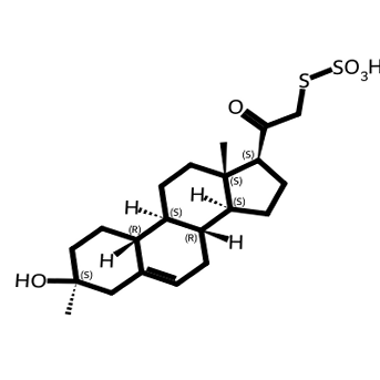 C[C@]1(O)CC[C@H]2C(=CC[C@@H]3[C@@H]2CC[C@]2(C)[C@@H](C(=O)CSS(=O)(=O)O)CC[C@@H]32)C1